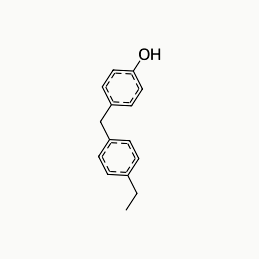 CCc1ccc(Cc2ccc(O)cc2)cc1